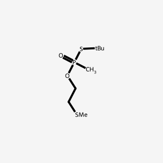 CSCCOP(C)(=O)SC(C)(C)C